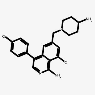 Nc1ncc(-c2ccc(Cl)cc2)c2cc(CN3CCC(N)CC3)cc(Cl)c12